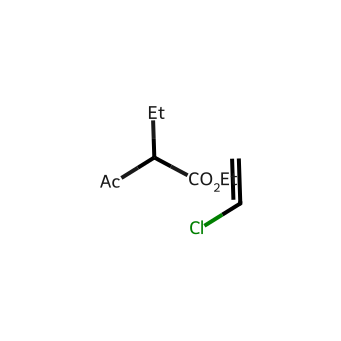 C=CCl.CCOC(=O)C(CC)C(C)=O